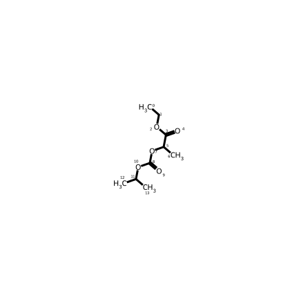 CCOC(=O)C(C)OC(=O)OC(C)C